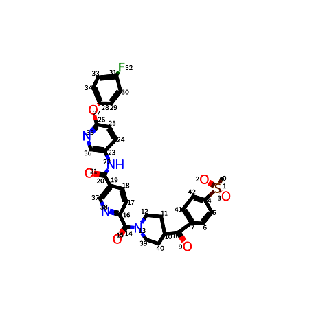 CS(=O)(=O)c1ccc(C(=O)C2CCN(C(=O)c3ccc(C(=O)Nc4ccc(Oc5ccc(F)cc5)nc4)cn3)CC2)cc1